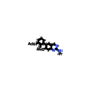 COc1cc2nc(NC(C)C)ncc2cc1-c1cccc(NC(C)=O)c1C